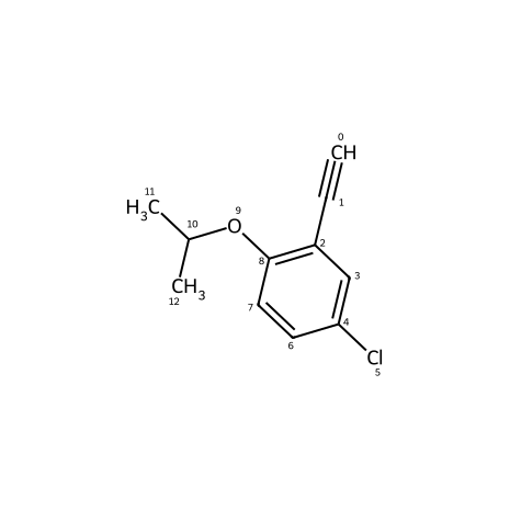 C#Cc1cc(Cl)ccc1OC(C)C